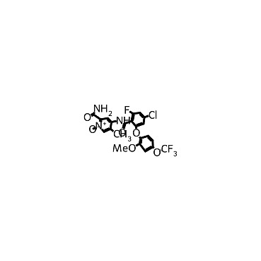 COc1cc(OC(F)(F)F)ccc1Oc1cc(Cl)cc(F)c1C(=O)Nc1cc(C(N)=O)[n+]([O-])cc1C